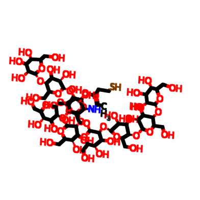 CC(=O)N[C@H]1C(O)[C@H](O[C@@H]2OC(CO)[C@H](O[C@H]3OC(CO)[C@H](O)C(O)[C@@H]3O)C(O)[C@@H]2O)C(CO)O[C@H]1O[C@H]1C(O)[C@H](O)C(CO)O[C@H]1O[C@@H]1C(CO[C@@H]2OC(CO)[C@@H](O)C(O)[C@@H]2O[C@H]2OC(CO)[C@@H](O[C@@H]3OC(CO)[C@H](O[C@H]4OC(CO)[C@H](O)C(O)[C@@H]4O)C(O)[C@@H]3O)C(O)[C@@H]2O)O[C@H](OCCCS)[C@@H](O)C1O[C@@H]1OC(CO)[C@@H](O)C(O)[C@@H]1O